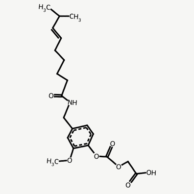 COc1cc(CNC(=O)CCCC/C=C/C(C)C)ccc1OC(=O)OCC(=O)O